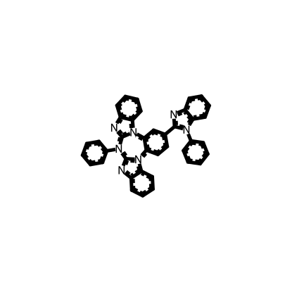 c1ccc(-n2c(-c3ccc4c(c3)n3c5ccccc5nc3n(-c3ccccc3)c3nc5ccccc5n43)nc3ccccc32)cc1